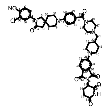 N#Cc1ccc(N2CC3(CCN(c4ccc(C(=O)N5CCN(CC6CCN(c7ccc8c(c7)C(=O)N(C7CCC(=O)NC7=O)C8=O)CC6)CC5)cc4)CC3)CC2=O)cc1Cl